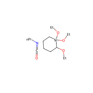 CCCN=C=O.CCOC1CCCC[Si]1(OCC)OCC